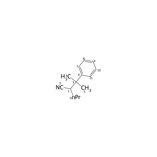 CCCC(C#N)C(C)(C)c1ccccc1